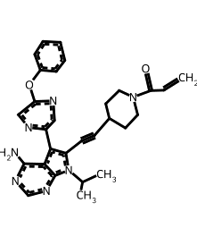 C=CC(=O)N1CCC(C#Cc2c(-c3cnc(Oc4ccccc4)cn3)c3c(N)ncnc3n2C(C)C)CC1